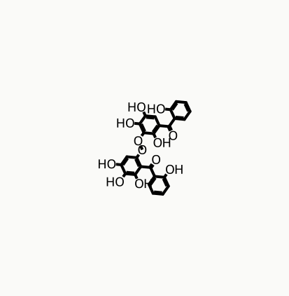 O=C(c1ccccc1O)c1cc(O)c(O)c(OOc2cc(O)c(O)c(O)c2C(=O)c2ccccc2O)c1O